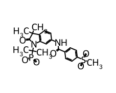 CC1(C)C(=O)N(C(C)(C)P(=O)=O)c2cc(NC(=O)c3ccc(S(C)(=O)=O)cc3)ccc21